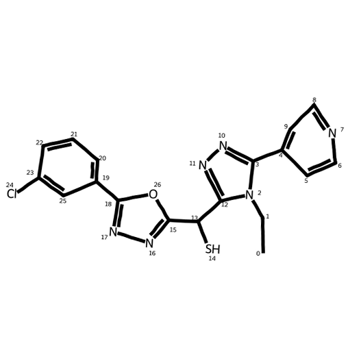 CCn1c(-c2ccncc2)nnc1C(S)c1nnc(-c2cccc(Cl)c2)o1